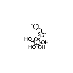 CC1=C(Cc2ccc(C)cc2)SC([C@@H]2O[C@H](CO)[C@@H](O)[C@H](O)[C@H]2O)C1